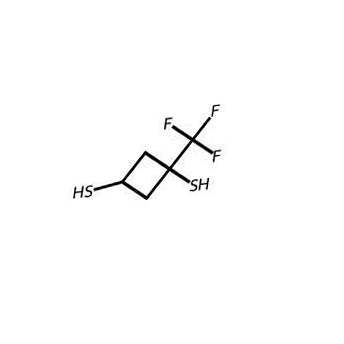 FC(F)(F)C1(S)CC(S)C1